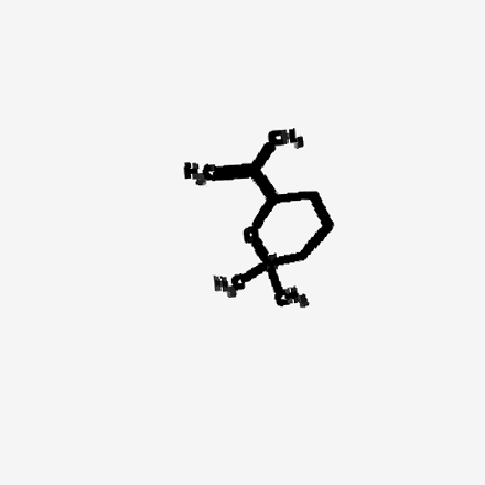 C=C(C)C1CCC[Si](C)(C)O1